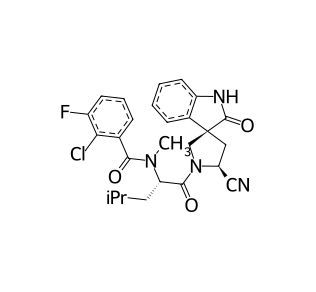 CC(C)C[C@@H](C(=O)N1C[C@]2(C[C@H]1C#N)C(=O)Nc1ccccc12)N(C)C(=O)c1cccc(F)c1Cl